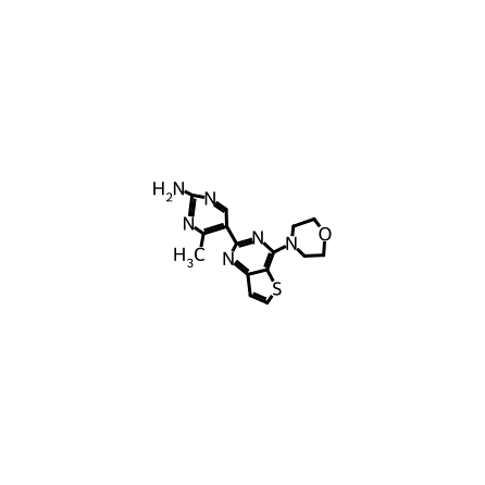 Cc1nc(N)ncc1-c1nc(N2CCOCC2)c2sccc2n1